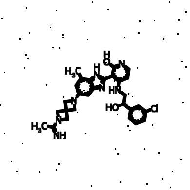 CC(=N)N1CC2(C1)CN(c1cc(C)c3[nH]c(-c4c(NC[C@H](O)c5cccc(Cl)c5)ccnc4O)nc3c1)C2